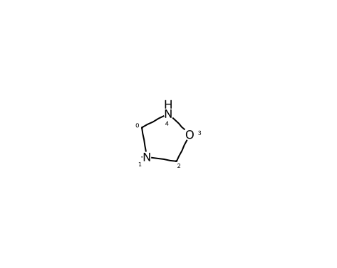 C1[N]CON1